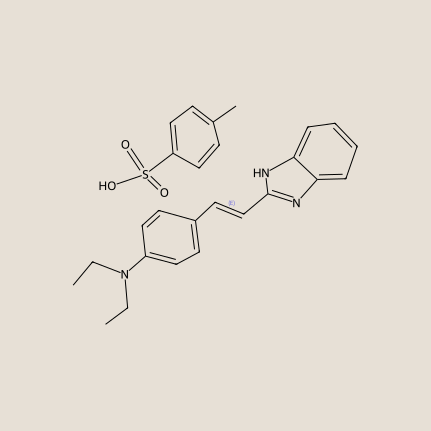 CCN(CC)c1ccc(/C=C/c2nc3ccccc3[nH]2)cc1.Cc1ccc(S(=O)(=O)O)cc1